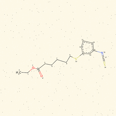 CCOC(=O)CCCCCSc1cccc(N=C=S)c1